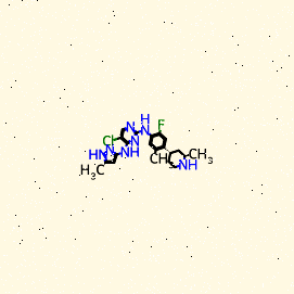 Cc1cc(Nc2nc(Nc3cc(C)c([C@H]4CCN[C@H](C)C4)cc3F)ncc2Cl)n[nH]1